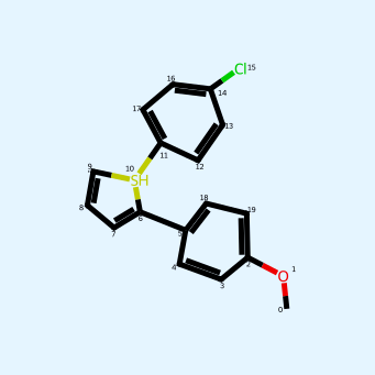 COc1ccc(C2=CC=[C][SH]2c2ccc(Cl)cc2)cc1